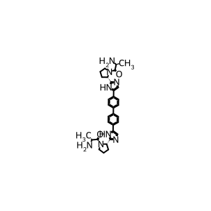 C[C@H](N)C(=O)N1CCC[C@H]1c1ncc(-c2ccc(-c3ccc(-c4cnc([C@@H]5CCCN5C(=O)[C@H](C)N)[nH]4)cc3)cc2)[nH]1